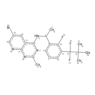 Cc1nc(NC(C)c2cccc(C(F)(F)C(C)(C)O)c2F)c2cc(Br)cnc2n1